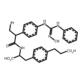 CC(C)CC(C(=O)NC(Cc1ccc(CCC(=O)O)cc1)C(=O)O)c1ccc(NC(=NC#N)Nc2ccccc2)cc1